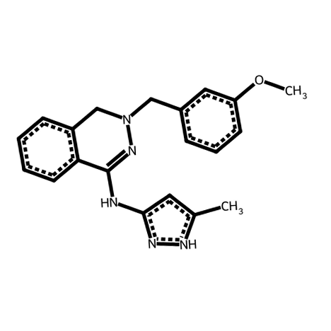 COc1cccc(CN2Cc3ccccc3C(Nc3cc(C)[nH]n3)=N2)c1